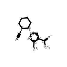 N#C[C@H]1CCCC[C@@H]1n1cc(C(N)=O)c(N)n1